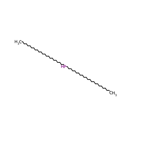 CCCCCCCCCCCCCCCCCCCCCCCCPCCCCCCCCCCCCCCCCCCCCCCCC